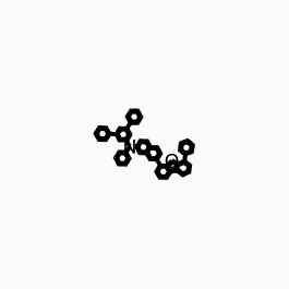 c1ccc(-c2cc(-c3ccccc3)cc(N(c3ccccc3)c3ccc4ccc(-c5cccc6c5oc5c(-c7ccccc7)cccc56)cc4c3)c2)cc1